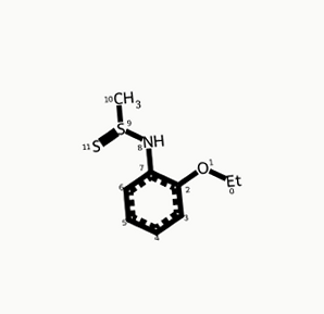 CCOc1ccccc1NS(C)=S